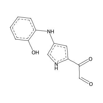 O=CC(=O)c1cc(Nc2ccccc2O)c[nH]1